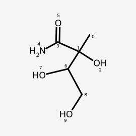 CC(O)(C(N)=O)C(O)CO